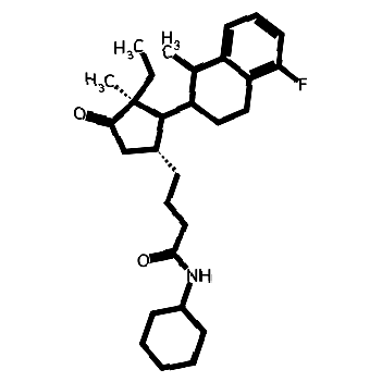 CC[C@]1(C)C(=O)C[C@@H](CCCC(=O)NC2CCCCC2)C1C1CCc2c(F)cccc2C1C